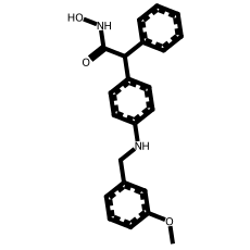 COc1cccc(CNc2ccc(C(C(=O)NO)c3ccccc3)cc2)c1